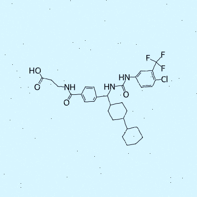 O=C(O)CCNC(=O)c1ccc(C(NC(=O)Nc2ccc(Cl)c(C(F)(F)F)c2)C2CCC(C3CCCCC3)CC2)cc1